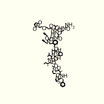 C#CCOC(=O)N(CC#C)Cc1cc(NC(=O)[C@H](CCCNC(N)=O)NC(=O)[C@@H](NC(=O)CCOCCN2C(=O)C=CC2=O)C(C)C)ccc1COC(=O)N1[C@@H]2CC[C@@H](C2)[C@H]1C(=O)N[C@H](C(=O)N(C)[C@@H]([C@@H](C)CC)[C@@H](CC(=O)N1CCC[C@H]1[C@H](OC)[C@@H](C)C(=O)N[C@@H](Cc1ccccc1)c1nccs1)OC)C(C)C